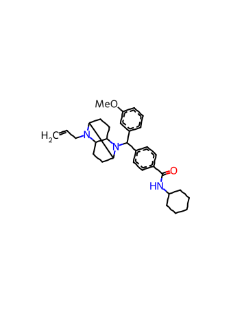 C=CCN1C2CCC3C1CCC2N3C(c1ccc(C(=O)NC2CCCCC2)cc1)c1cccc(OC)c1